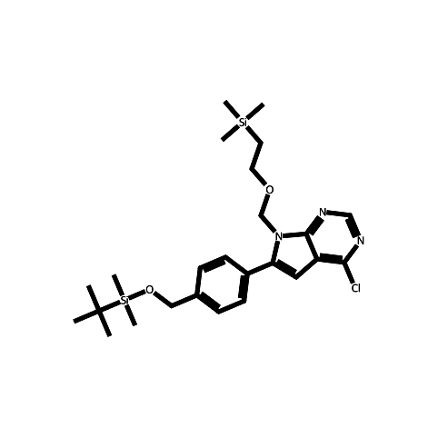 CC(C)(C)[Si](C)(C)OCc1ccc(-c2cc3c(Cl)ncnc3n2COCC[Si](C)(C)C)cc1